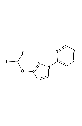 FC(F)Oc1ccn(-c2ccccn2)n1